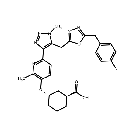 Cc1nc(-c2nnn(C)c2Cc2nnc(Cc3ccc(F)cc3)o2)ccc1O[C@H]1CCC[C@H](C(=O)O)C1